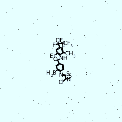 Bc1cc(C(=O)Nc2c(C)cc(C(F)(C(F)(F)F)C(F)(F)C(F)(F)F)cc2CC)ccc1/N=c1\ssnc1Cl